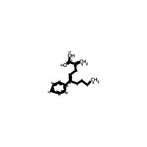 C=C(CC=C(CCCC)c1ccccc1)C(=O)O